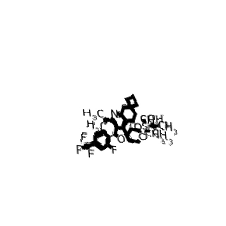 CC(C)c1nc2c(c3c1[C@@H](c1ccc(C(F)(F)F)cc1F)OC31CCOCC1I)[C@@H](O[Si](C)(C)C(C)(C)C)CC1(CCC1)C2